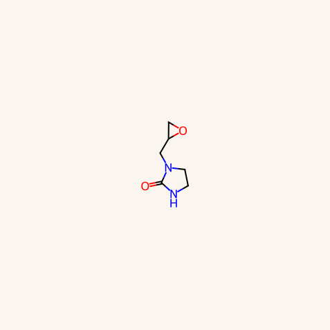 O=C1NCCN1CC1CO1